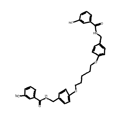 N#Cc1cccc(C(=O)NCc2ccc(OCCCCCOc3ccc(CNC(=O)c4cccc(C#N)c4)cc3)cc2)c1